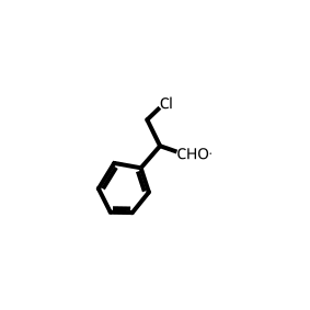 O=[C]C(CCl)c1ccccc1